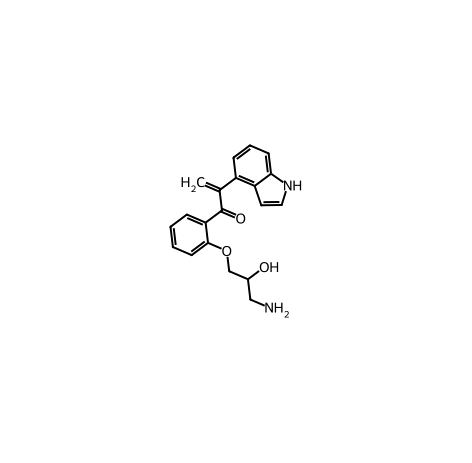 C=C(C(=O)c1ccccc1OCC(O)CN)c1cccc2[nH]ccc12